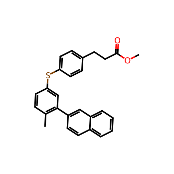 COC(=O)CCc1ccc(Sc2ccc(C)c(-c3ccc4ccccc4c3)c2)cc1